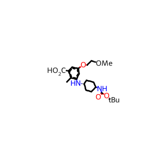 COCCOc1cc(N[C@H]2CC[C@H](NC(=O)OC(C)(C)C)CC2)c(C)c(C(=O)O)c1